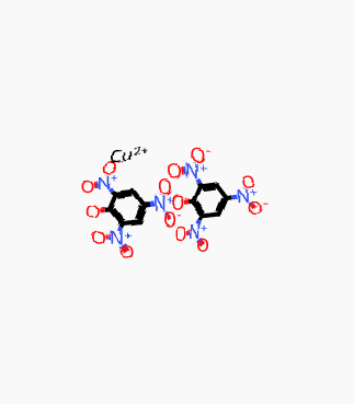 O=[N+]([O-])c1cc([N+](=O)[O-])c([O-])c([N+](=O)[O-])c1.O=[N+]([O-])c1cc([N+](=O)[O-])c([O-])c([N+](=O)[O-])c1.[Cu+2]